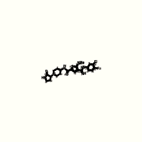 CNc1sc(C(=O)NC2CCN(C3CCNC3=O)CC2)cc1C(=N)Nc1ccc(F)c(Cl)c1